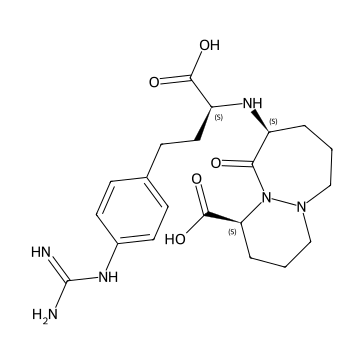 N=C(N)Nc1ccc(CC[C@H](N[C@H]2CCCN3CCC[C@@H](C(=O)O)N3C2=O)C(=O)O)cc1